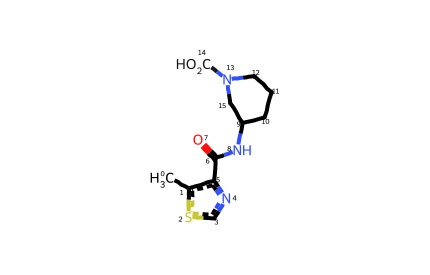 Cc1scnc1C(=O)NC1CCCN(C(=O)O)C1